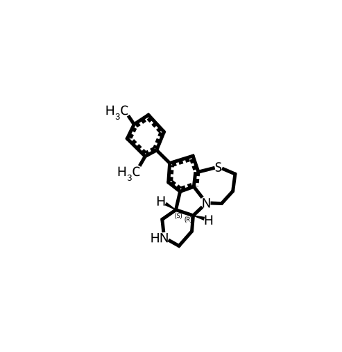 Cc1ccc(-c2cc3c4c(c2)[C@H]2CNCC[C@H]2N4CCCS3)c(C)c1